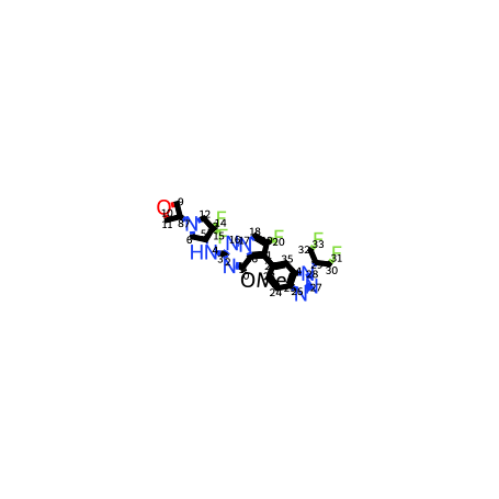 COc1nc(N[C@@H]2CN(C3COC3)CC2(F)F)nn2cc(F)c(-c3ccc4nnn(C(CF)CF)c4c3)c12